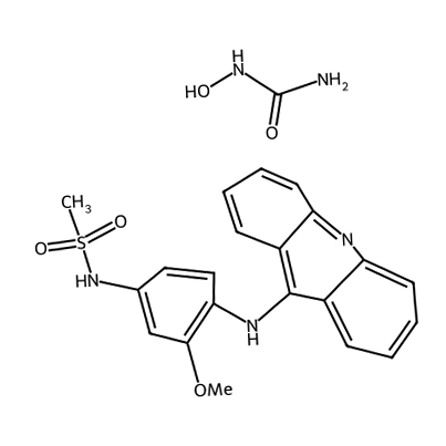 COc1cc(NS(C)(=O)=O)ccc1Nc1c2ccccc2nc2ccccc12.NC(=O)NO